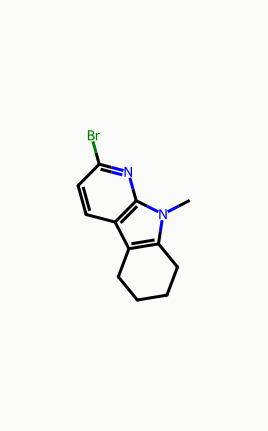 Cn1c2c(c3ccc(Br)nc31)CCCC2